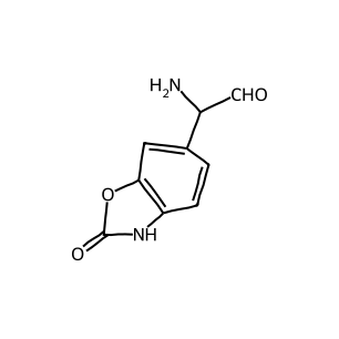 NC(C=O)c1ccc2[nH]c(=O)oc2c1